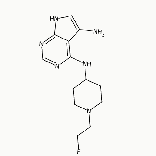 Nc1c[nH]c2ncnc(NC3CCN(CCF)CC3)c12